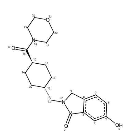 O=C1c2cc(O)ccc2CN1C[C@H]1CC[C@H](C(=O)N2CCOCC2)CC1